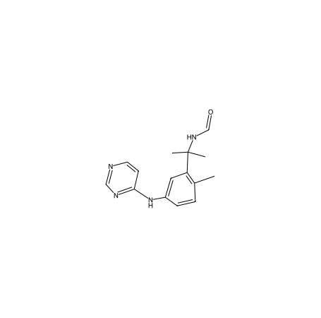 Cc1ccc(Nc2ccncn2)cc1C(C)(C)NC=O